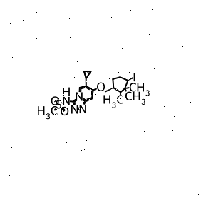 C[C@H]1[C@@H](COc2cc3nnc(NS(C)(=O)=O)n3cc2C2CC2)CC[C@@H](I)C1(C)C